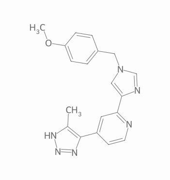 COc1ccc(Cn2cnc(-c3cc(-c4nn[nH]c4C)ccn3)c2)cc1